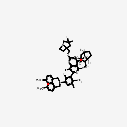 COc1ccc(CN(Cc2ccc(OC)cc2)c2cc(C)c(C(F)(F)F)c(-c3nc4c5c(nc(OCC67CCN6CC(F)(F)C7)nc5c3F)N3C[C@H]5CC[C@@H](C3[C@H](C)O4)N5C(=O)OC(C)(C)C)c2F)cc1